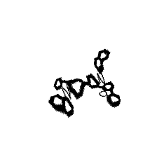 c1ccc2cc(-n3c4ccc(-c5ccc6c(c5)c5ccccc5n6-c5cccc6ccccc56)cc4c4c5oc6ccccc6c5ccc43)ccc2c1